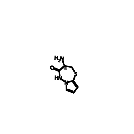 N[C@H]1CSc2cccn2NC1=O